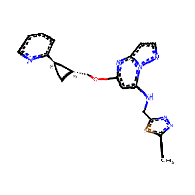 Cc1nnc(CNc2cc(OC[C@@H]3C[C@H]3c3ccccn3)nc3ccnn23)s1